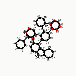 c1ccc(-c2ccccc2-c2ccc3[se]c4ccccc4c3c2-c2ccc(-c3ccccc3)c(-c3ccccc3-c3ccccc3)c2-c2ccnnn2)cc1